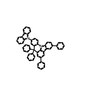 c1ccc(-c2ccc3c(c2)c2cc(-c4ccccc4)cc4c2n3-c2ccc(-n3c5ccccc5c5ccccc53)cc2C4(c2ccccc2)c2ccccc2)cc1